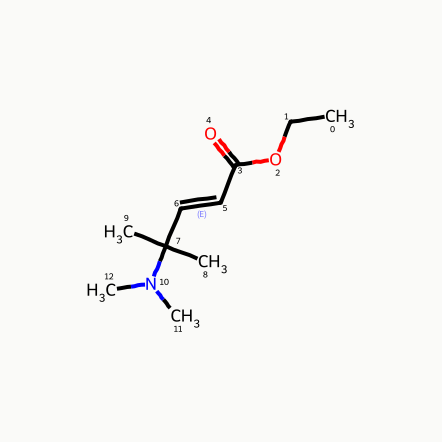 CCOC(=O)/C=C/C(C)(C)N(C)C